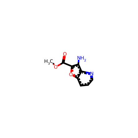 COC(=O)c1oc2cccnc2c1N